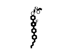 C=CC(=O)N(C)CCOC1CCC(c2ccc(C3CCC(C4CCC(CCCCC)CC4)CC3)cc2F)CC1